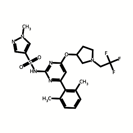 Cc1cccc(C)c1-c1cc(OC2CCN(CC(F)(F)F)C2)nc(NS(=O)(=O)c2cnn(C)c2)n1